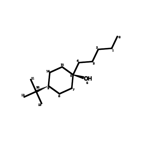 CCCCC[C@]1(O)CC[C@H](C(C)(C)C)CC1